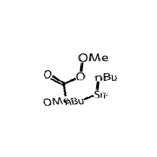 CCC[CH2][Sn][CH2]CCC.COOC(=O)OC